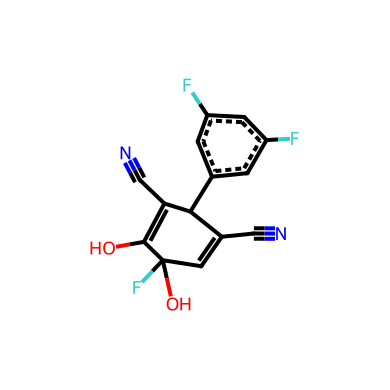 N#CC1=CC(O)(F)C(O)=C(C#N)C1c1cc(F)cc(F)c1